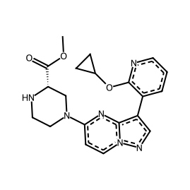 COC(=O)[C@@H]1CN(c2ccn3ncc(-c4cccnc4OC4CC4)c3n2)CCN1